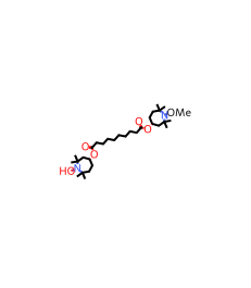 CON1C(C)(C)CCC(OC(=O)CCCCCCCCC(=O)OC2CCC(C)(C)N(O)C(C)(C)C2)CC1(C)C